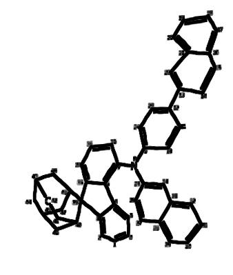 c1ccc2c(c1)-c1c(N(c3ccc(-c4ccc5ccccc5c4)cc3)c3ccc4ccccc4c3)cccc1C21C2CCC3CC(C2)CC1C3